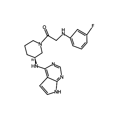 O=C(CNc1cccc(F)c1)N1CCC[C@H](Nc2ncnc3[nH]ccc23)C1